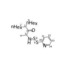 CCCCCCC(CCCCCC)C(=O)C(C)NSSc1ccccn1